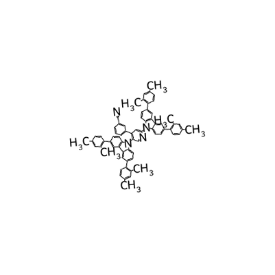 Cc1ccc(-c2ccc3c(c2)c2cc(-c4ccc(C)cc4C)ccc2n3-c2cc(-c3cccc(C#N)c3)c(-n3c4ccc(-c5ccc(C)cc5C)cc4c4cc(-c5ccc(C)cc5C)ccc43)cn2)c(C)c1